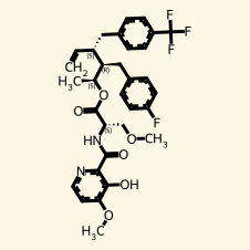 C=C[C@H](Cc1ccc(C(F)(F)F)cc1)[C@@H](Cc1ccc(F)cc1)[C@H](C)OC(=O)[C@H](COC)NC(=O)c1nccc(OC)c1O